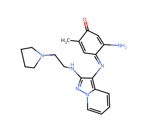 CC1=C/C(=N\c2c(NCCN3CCCC3)nn3ccccc23)C(N)=CC1=O